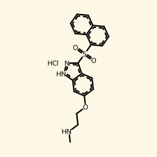 CNCCOc1ccc2c(S(=O)(=O)c3cccc4ccccc34)n[nH]c2c1.Cl